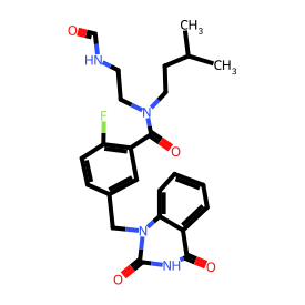 CC(C)CCN(CCNC=O)C(=O)c1cc(Cn2c(=O)[nH]c(=O)c3ccccc32)ccc1F